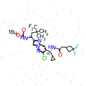 CC(C)(C)OC(=O)N[C@@H](CC(C)(C)C(F)(F)F)c1cn2nc(Cl)c([C@H](NC(=O)CC3CC(F)(F)C3)C3CC3)cc2n1